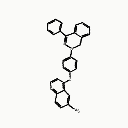 Nc1ccc2nccc(Sc3ccc(N4Cc5ccccc5C(c5ccccc5)=N4)cc3)c2c1